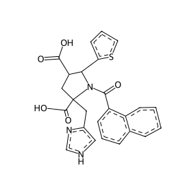 O=C(O)C1CC(Cc2c[nH]cn2)(C(=O)O)N(C(=O)c2cccc3ccccc23)C1c1cccs1